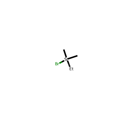 CC[Si](C)(C)Br